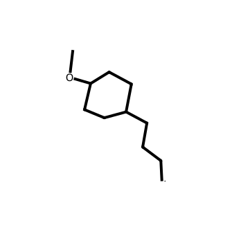 [CH2]CCCC1CCC(OC)CC1